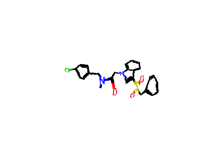 CN(Cc1ccc(Cl)cc1)C(=O)Cn1cc(S(=O)(=O)Cc2ccccc2)c2ccccc21